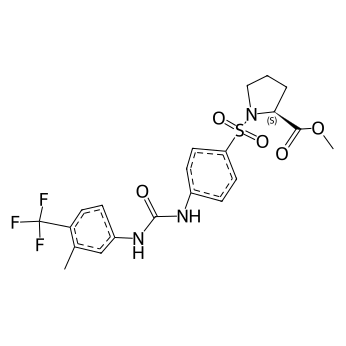 COC(=O)[C@@H]1CCCN1S(=O)(=O)c1ccc(NC(=O)Nc2ccc(C(F)(F)F)c(C)c2)cc1